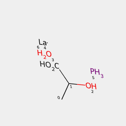 CC(O)C(=O)O.O.P.[La]